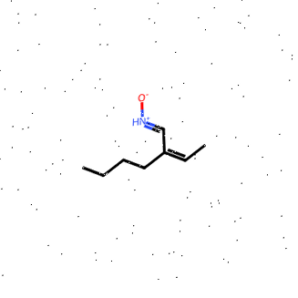 CC=C(C=[NH+][O-])CCCC